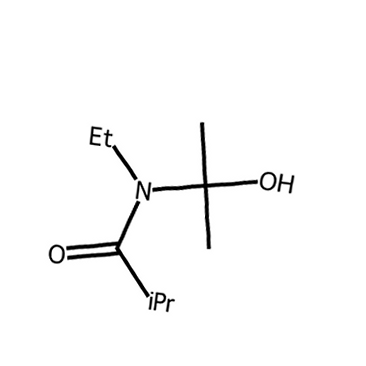 CCN(C(=O)C(C)C)C(C)(C)O